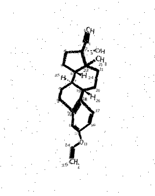 C#C[C@]1(O)CC[C@H]2[C@@H]3CCc4cc(OC=C)ccc4[C@H]3CCC21C